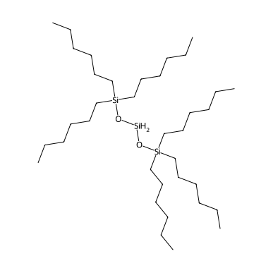 CCCCCC[Si](CCCCCC)(CCCCCC)O[SiH2]O[Si](CCCCCC)(CCCCCC)CCCCCC